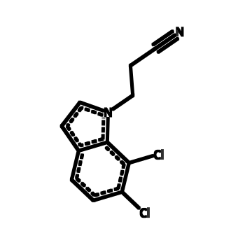 N#CCCn1ccc2ccc(Cl)c(Cl)c21